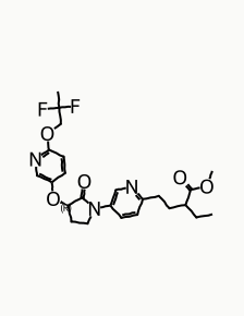 CCC(CCc1ccc(N2CC[C@@H](Oc3ccc(OCC(C)(F)F)nc3)C2=O)cn1)C(=O)OC